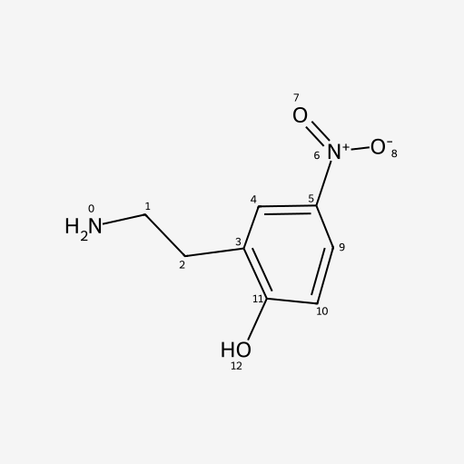 NCCc1cc([N+](=O)[O-])ccc1O